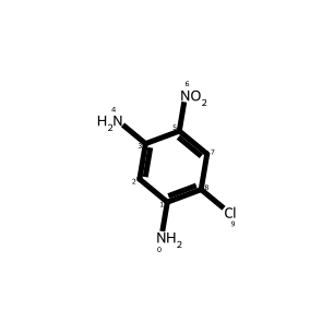 Nc1cc(N)c([N+](=O)[O-])cc1Cl